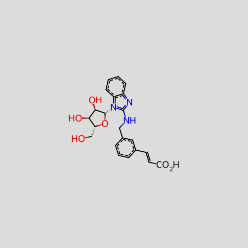 O=C(O)/C=C/c1cccc(CNc2nc3ccccc3n2[C@@H]2O[C@H](CO)[C@@H](O)[C@H]2O)c1